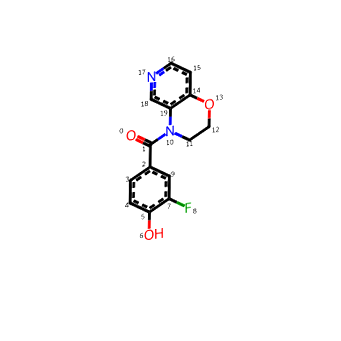 O=C(c1ccc(O)c(F)c1)N1CCOc2ccncc21